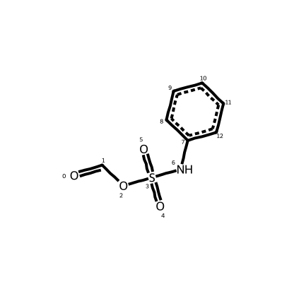 O=COS(=O)(=O)Nc1ccccc1